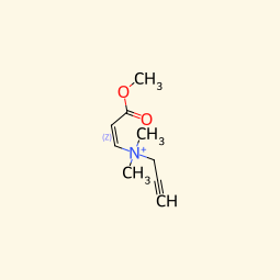 C#CC[N+](C)(C)/C=C\C(=O)OC